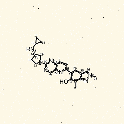 Cc1c(O)c(-c2ccc3nc(N4CC[C@H](NC5CC5)C4)ncc3n2)cc2cn(C)nc12